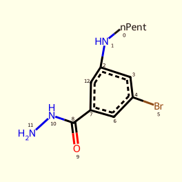 CCCCCNc1cc(Br)cc(C(=O)NN)c1